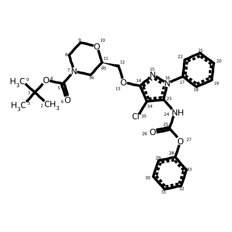 CC(C)(C)OC(=O)N1CCO[C@@H](COc2nn(-c3ccccc3)c(NC(=O)Oc3ccccc3)c2Cl)C1